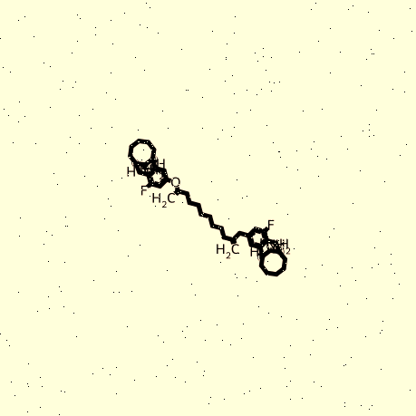 C=C(CCCCCCCCC(=C)Oc1cc(F)c2c(c1)[C@H]1CCCCC[C@@H](C2)[C@@H]1N)Cc1cc(F)c2c(c1)[C@H]1CCCCC[C@@H](C2)[C@@H]1N